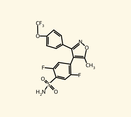 Cc1onc(-c2ccc(OC(F)(F)F)cc2)c1-c1cc(F)c(S(N)(=O)=O)cc1F